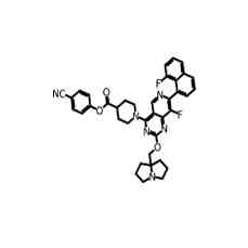 N#Cc1ccc(OC(=O)C2CCN(c3nc(OCC45CCCN4CCC5)nc4c(F)c(-c5cccc6cccc(F)c56)ncc34)CC2)cc1